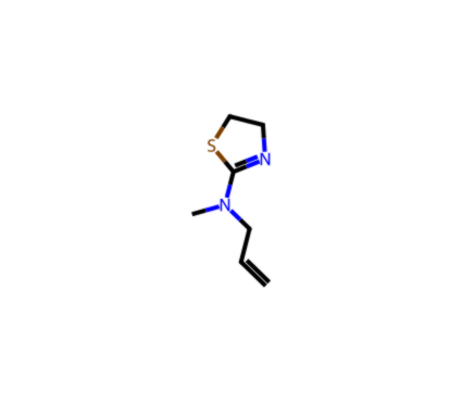 C=CCN(C)C1=NCCS1